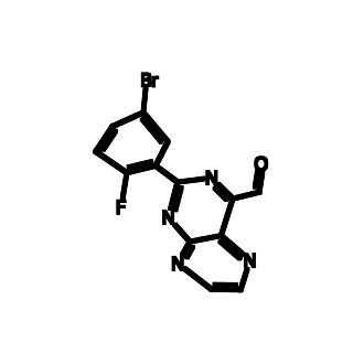 O=Cc1nc(-c2cc(Br)ccc2F)nc2nccnc12